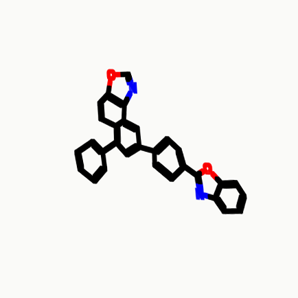 c1ccc(-c2cc(-c3ccc(-c4nc5ccccc5o4)cc3)cc3c2ccc2ocnc23)cc1